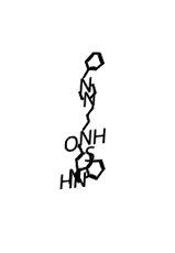 O=C(NCCCCN1CCN(Cc2ccccc2)CC1)C1=Cc2n[nH]c3cccc(c23)S1